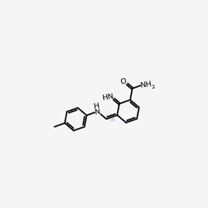 Cc1ccc(N/C=C2/C=CC=C(C(N)=O)C2=N)cc1